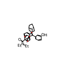 CCN(CC)C(=O)c1ccc(C(=C2CC3CCC(C2)N3Cc2cccc(F)c2)c2cccc(O)c2)cc1